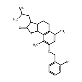 Cc1cc(OCc2ccccc2Br)c(C)c2c1CCC1C(CN(C)C)C(=O)OC21